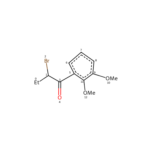 CCC(Br)C(=O)c1cccc(OC)c1OC